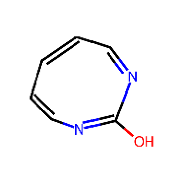 OC1=NC=CC=CC=N1